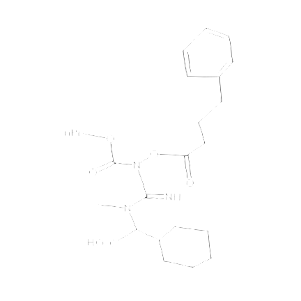 CCCOC(=O)N(OC(=O)CCCc1ccccc1)C(=N)N(C)C(C(=O)O)C1CCCCC1